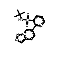 CC(C)(C)NS(=O)(=O)c1cccnc1-c1ccc2cnnn2c1